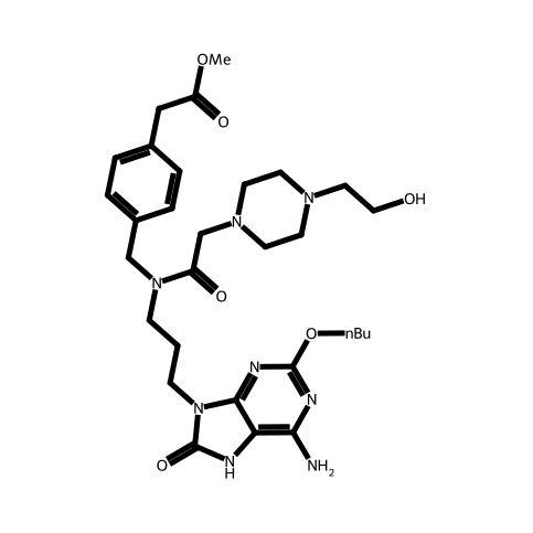 CCCCOc1nc(N)c2[nH]c(=O)n(CCCN(Cc3ccc(CC(=O)OC)cc3)C(=O)CN3CCN(CCO)CC3)c2n1